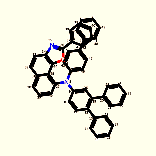 c1ccc(-c2ccc(N(c3ccc(-c4ccccc4)c(-c4ccccc4)c3)c3cccc4ccc5nc(-c6ccccc6)oc5c34)cc2)cc1